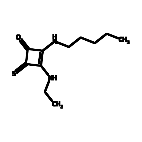 CCCCCNc1c(NCC)c(=S)c1=O